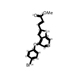 COC(=O)C=Cc1cc2c(Oc3ccc(Br)cc3)cncc2s1